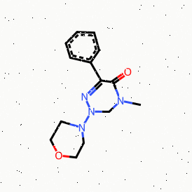 CN1CN(N2CCOCC2)N=C(c2ccccc2)C1=O